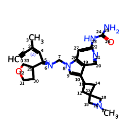 C#C/C(C)=C\C(=N/Cn1cc(C2CC3(C2)CN(C)C3)c2cnc(NC(N)=O)cc21)C1CCOC1